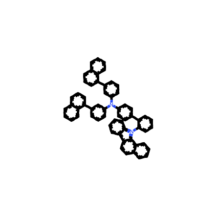 c1cc(-c2cccc3ccccc23)cc(N(c2ccc(-c3ccccc3-n3c4ccccc4c4ccc5ccccc5c43)cc2)c2cccc(-c3cccc4ccccc34)c2)c1